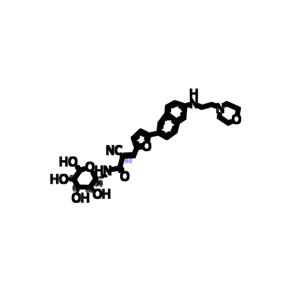 N#C/C(=C\c1ccc(-c2ccc3cc(NCCN4CCOCC4)ccc3c2)o1)C(=O)NC[C@H]1OC(O)[C@H](O)[C@@H](O)[C@@H]1O